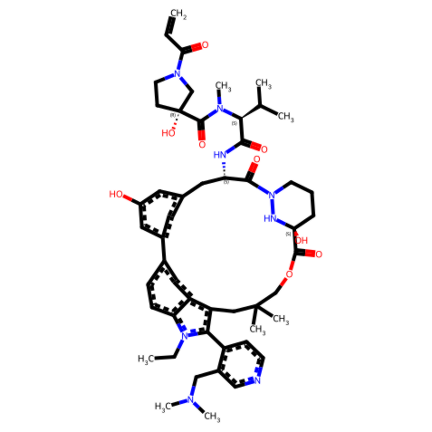 C=CC(=O)N1CC[C@](O)(C(=O)N(C)[C@H](C(=O)N[C@H]2Cc3cc(O)cc(c3)-c3ccc4c(c3)c(c(-c3ccncc3CN(C)C)n4CC)CC(C)(C)COC(=O)[C@@]3(O)CCCN(N3)C2=O)C(C)C)C1